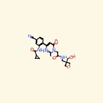 Cc1nc(-c2ccc(C#N)cc2NC(=O)C2CC2)cc(=O)n1CC(=O)NCC1(CO)COC1